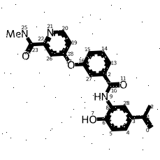 C=C(C)c1ccc(O)c(NC(=O)c2cccc(Oc3ccnc(C(=O)NC)c3)c2)c1